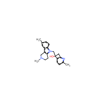 Cc1ccc2c(c1)c1c(n2CC2(O)Cc3nc(C)ccc32)CCN(C)C1